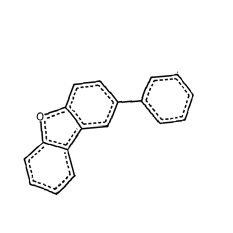 [c]1cccc(-c2ccc3oc4ccccc4c3c2)c1